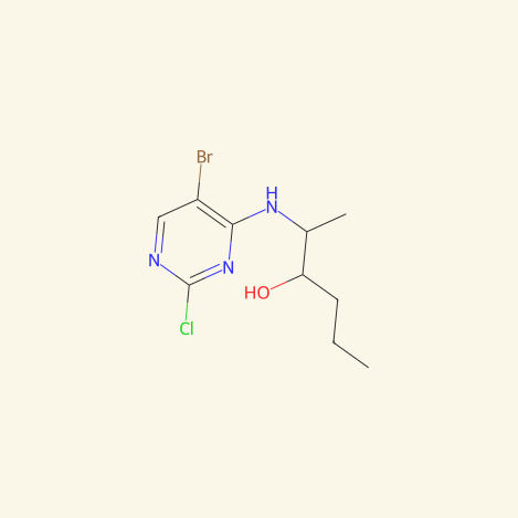 CCCC(O)C(C)Nc1nc(Cl)ncc1Br